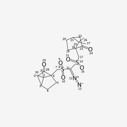 CC1(C)C2CCC1(CS(=O)(=O)C(=[N+]=[N-])S(=O)(=O)CC13CCC(CC1=O)C3(C)C)C(=O)C2